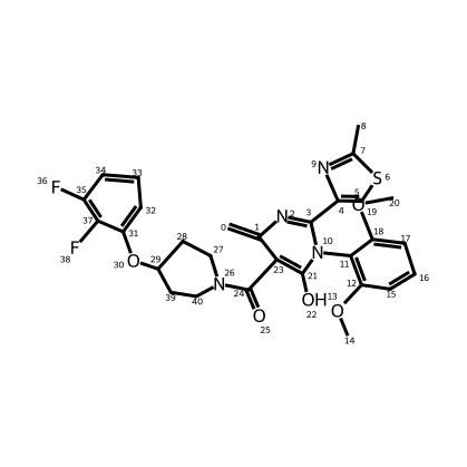 C=C1N=C(c2csc(C)n2)N(c2c(OC)cccc2OC)C(O)=C1C(=O)N1CCC(Oc2cccc(F)c2F)CC1